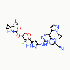 CC1(NC(=O)O[C@H]2CO[C@@H](c3cc(Nc4ncc(-c5ccnn5C5CC5)c5nc(C#N)cn45)n[nH]3)[C@H]2F)CC1